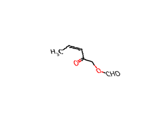 C/C=C\C(=O)COC=O